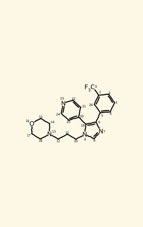 FC(F)(F)c1cccc(-c2ncn(CCCN3CCOCC3)c2-c2ccncc2)c1